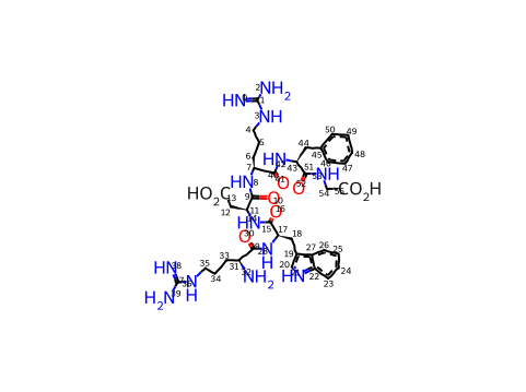 N=C(N)NCCC[C@H](NC(=O)[C@H](CC(=O)O)NC(=O)[C@@H](Cc1c[nH]c2ccccc12)NC(=O)[C@@H](N)CCCNC(=N)N)C(=O)N[C@@H](Cc1ccccc1)C(=O)NCC(=O)O